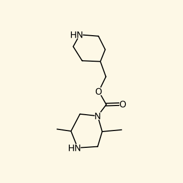 CC1CN(C(=O)OCC2CCNCC2)C(C)CN1